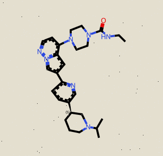 CCNC(=O)N1CCN(c2ccnn3cc(-c4ccc([C@@H]5CCCN(C(C)C)C5)cn4)cc23)CC1